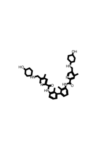 Cc1cc(C(=O)Nc2cccc(-c3cccc(NC(=O)c4cc(C)c(CNC5CCC(O)CC5)cn4)c3C)c2C)ncc1CNC1CCC(O)CC1